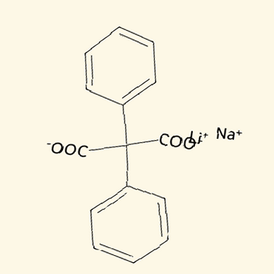 O=C([O-])C(C(=O)[O-])(c1ccccc1)c1ccccc1.[Li+].[Na+]